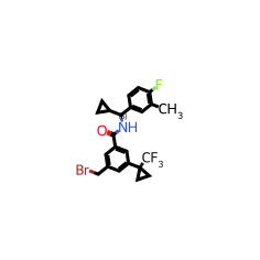 Cc1cc([C@@H](NC(=O)c2cc(CBr)cc(C3(C(F)(F)F)CC3)c2)C2CC2)ccc1F